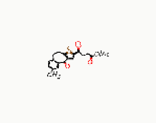 COC(=O)CCC(=O)c1cc2c(s1)CCc1ccc(C)cc1C2=O